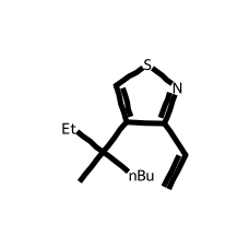 C=Cc1nscc1C(C)(CC)CCCC